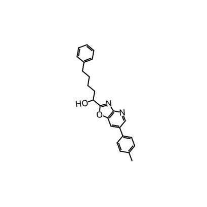 Cc1ccc(-c2cnc3nc(C(O)CCCCc4ccccc4)oc3c2)cc1